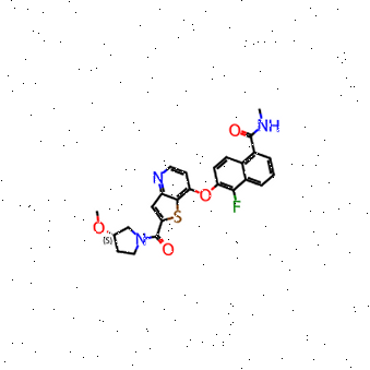 CNC(=O)c1cccc2c(F)c(Oc3ccnc4cc(C(=O)N5CC[C@H](OC)C5)sc34)ccc12